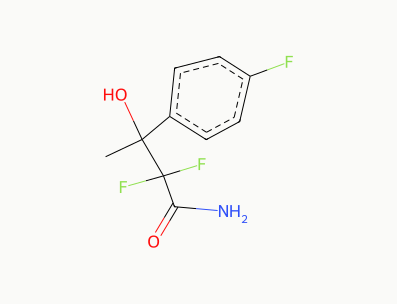 CC(O)(c1ccc(F)cc1)C(F)(F)C(N)=O